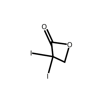 O=C1OCC1(I)I